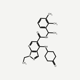 CCn1ncc2c(NC3CCC(=O)CC3)c(C(=O)NC(C)c3cccc(C)c3C)cnc21